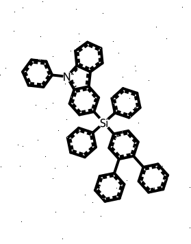 c1ccc(-c2ccc([Si](c3ccccc3)(c3ccccc3)c3ccc4c(c3)c3ccccc3n4-c3ccccc3)cc2-c2ccccc2)cc1